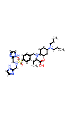 CCCN(CCC)C1CCC(N(Cc2ccc(S(=O)(=O)N(Cc3ncc[nH]3)Cc3ncc[nH]3)cc2)C(CC)C(=O)O)CC1